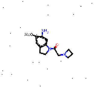 COc1cc2c(cc1N)N(C(=O)CN1CCC1)CC2